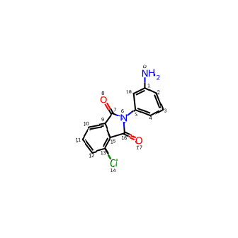 Nc1cccc(N2C(=O)c3cccc(Cl)c3C2=O)c1